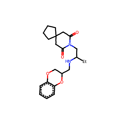 CCC(CN1C(=O)CC2(CCCC2)CC1=O)NCC1COc2ccccc2O1